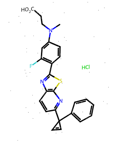 CN(CCC(=O)O)c1ccc(-c2nc3ccc(C4(c5ccccc5)C=C4)nc3s2)c(F)c1.Cl